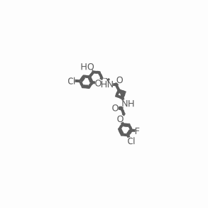 O=C(COc1ccc(Cl)c(F)c1)NC12CC(C(=O)NC[C@H]3C[C@@H](O)c4cc(Cl)ccc4O3)(C1)C2